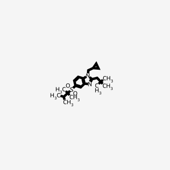 CC(C)C(C)(C)S(=O)(=O)c1ccc2c(c1)nc(CC(C)(C)C)n2CC1CC1